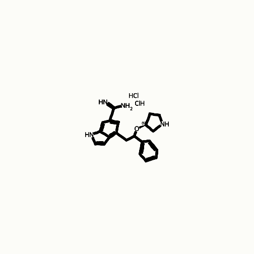 Cl.Cl.N=C(N)c1cc(CC(O[C@H]2CCNC2)c2ccccc2)c2cc[nH]c2c1